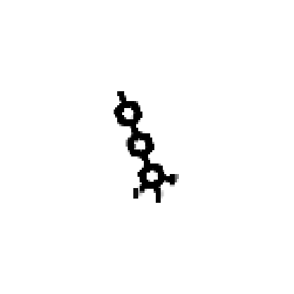 Cc1ccc(-c2ccc(-c3cc(F)c(F)c(F)c3)cc2)cc1